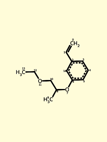 C=Cc1cccc(OC(C)COCC)c1